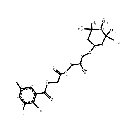 CN1C(C)(C)CC(OCC(O)COC(=O)COC(=O)c2cc(I)cc(I)c2I)CC1(C)C